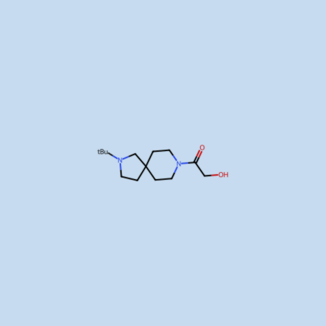 CC(C)(C)N1CCC2(CCN(C(=O)CO)CC2)C1